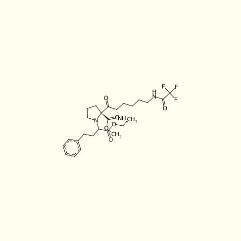 CCOC(=O)C(CCc1ccccc1)N1CCC[C@]1(C(=O)OC)C(=O)[C@@H](N)CCCCNC(=O)C(F)(F)F